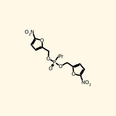 CC(C)P(=O)(OCc1ccc([N+](=O)[O-])o1)OCc1ccc([N+](=O)[O-])o1